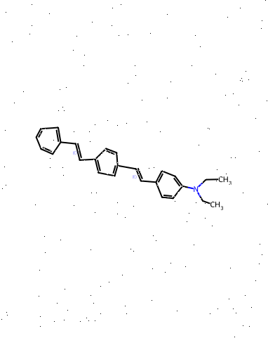 CCN(CC)c1ccc(/C=C/c2ccc(/C=C/c3ccccc3)cc2)cc1